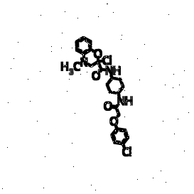 CN1CC(Cl)(C(=O)NC2CCC(NC(=O)COc3ccc(Cl)cc3)CC2)Oc2ccccc21